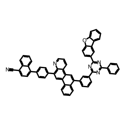 N#Cc1ccc(-c2ccc(-c3cc4c5ccccc5c(-c5cccc(-c6nc(-c7ccccc7)nc(-c7ccc8oc9ccccc9c8c7)n6)c5)cc4c4cccnc34)cc2)c2ccccc12